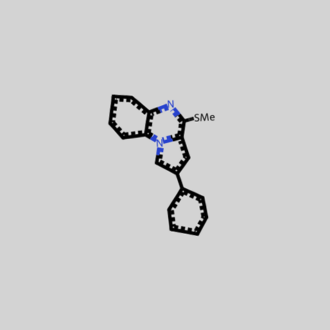 CSc1nc2ccccc2n2cc(-c3ccccc3)cc12